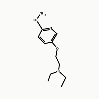 CCN(CC)CCOc1ccc(NN)nc1